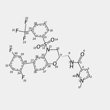 Cn1ccc(C(=O)NC[C@H]2CN(S(=O)(=O)c3cccc(C(F)(F)F)c3)c3cc(-c4cc(F)ccc4F)ccc3O2)n1